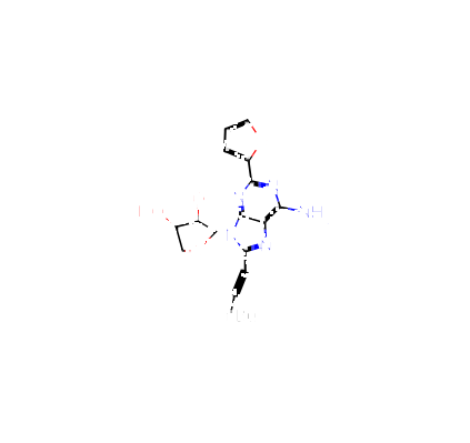 CCCCC#Cc1nc2c(N)nc(-c3ccco3)nc2n1[C@@H]1OC[C@@H](O)[C@H]1O